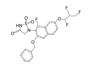 O=C1CN(c2c(OCc3ccccc3)cc3ccc(OC(F)C(F)CF)cc3c2F)S(=O)(=O)N1